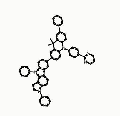 CC1(C)c2cc(-c3ccccc3)ccc2N(c2ccc(-c3ncccn3)cc2)c2ccc(-c3ccc4c(c3)c3ccc5c(ccn5-c5ccccc5)c3n4-c3ccccc3)cc21